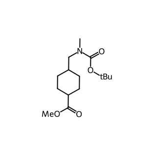 COC(=O)C1CCC(CN(C)C(=O)OC(C)(C)C)CC1